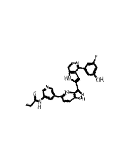 CCC(=O)Nc1cncc(-c2ccc3[nH]nc(-c4cc5c(-c6cc(O)cc(F)c6)nccc5[nH]4)c3n2)c1